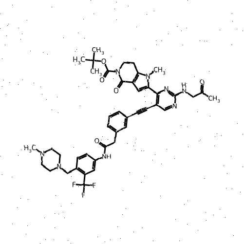 CC(=O)CNc1ncc(C#Cc2cccc(CC(=O)Nc3ccc(CN4CCN(C)CC4)c(C(F)(F)F)c3)c2)c(-c2cc3c(n2C)CCN(C(=O)OC(C)(C)C)C3=O)n1